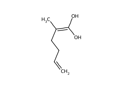 C=CCCC(C)=C(O)O